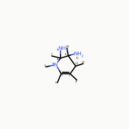 CC1=C(C)N(C)C(C)(N)C(C)(N)C1C